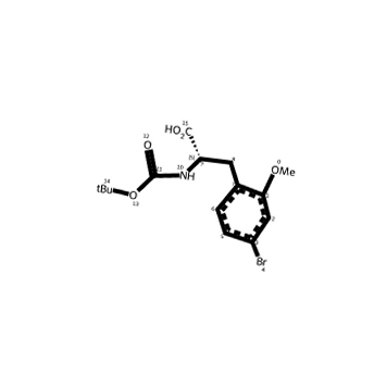 COc1cc(Br)ccc1C[C@H](NC(=O)OC(C)(C)C)C(=O)O